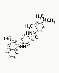 Cc1nc(N(C)C)ccc1C(=O)NC1CCC(Nc2cc(C(C)(C)C)nc3ccccc23)CC1